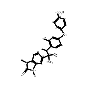 CC(c1ccc(Oc2ccc(C(=O)O)cc2)cc1Cl)C(O)(c1ccc2c(c1)n(C)c(=O)n2C)C(F)(F)F